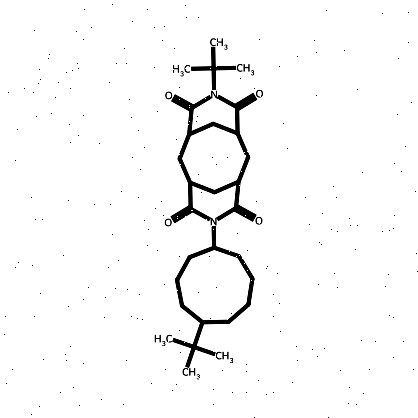 CC(C)(C)C1CCCCC(N2C(=O)C3CC(CC4CC(C3)C(=O)N(C(C)(C)C)C4=O)C2=O)CCC1